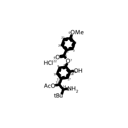 COc1ccc(C(=O)Oc2ccc(C(OC(C)=O)C(N)C(C)(C)C)cc2O)cc1.Cl